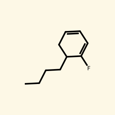 CCCCC1CC=CC=C1F